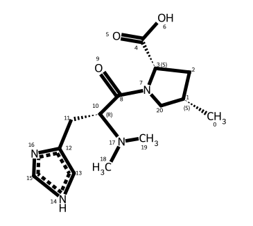 C[C@H]1C[C@@H](C(=O)O)N(C(=O)[C@@H](Cc2c[nH]cn2)N(C)C)C1